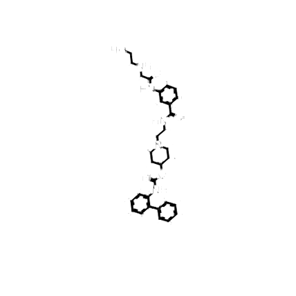 O=C(CNCCO)Nc1cccc(C(=O)NCCN2CCC(OC(=O)Nc3ccccc3-c3ccccc3)CC2)c1